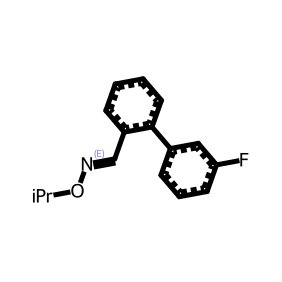 CC(C)O/N=C/c1ccccc1-c1cccc(F)c1